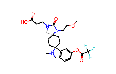 COCCN1C(=O)N(CCC(=O)O)C[C@]12CC[C@](c1cccc(OC(=O)C(F)(F)F)c1)(N(C)C)CC2